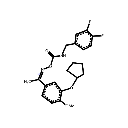 COc1ccc(/C(C)=N\OC(=O)NCc2ccc(F)c(F)c2)cc1OC1CCCC1